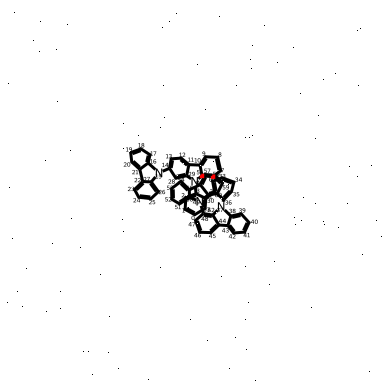 c1ccc(-n2c3ccccc3c3ccc(-n4c5ccccc5c5ccccc54)cc32)c(-c2ccccc2-n2c3ccccc3c3cccc(-n4c5ccccc5c5ccccc54)c32)c1